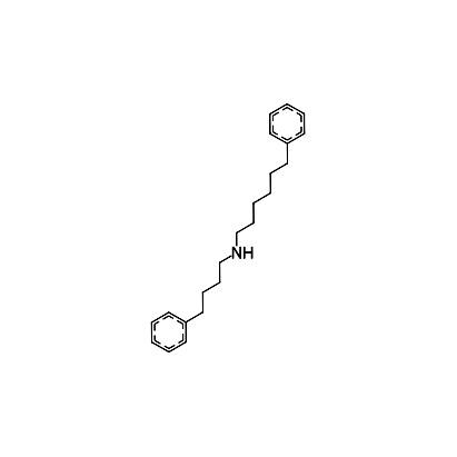 c1ccc(CCCCCCNCCCCc2ccccc2)cc1